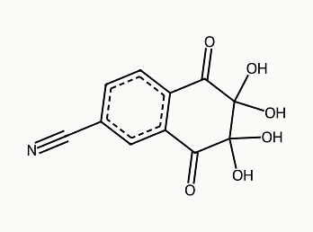 N#Cc1ccc2c(c1)C(=O)C(O)(O)C(O)(O)C2=O